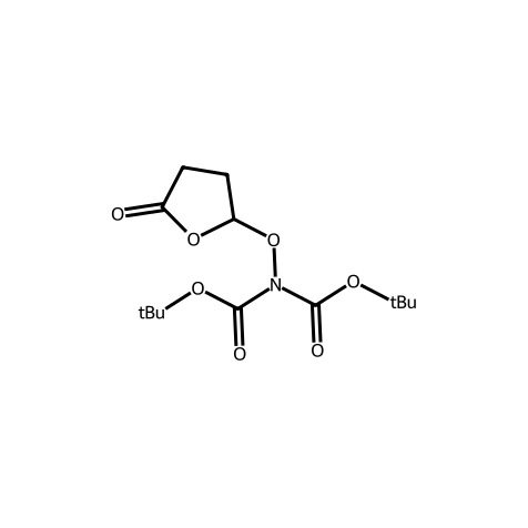 CC(C)(C)OC(=O)N(OC1CCC(=O)O1)C(=O)OC(C)(C)C